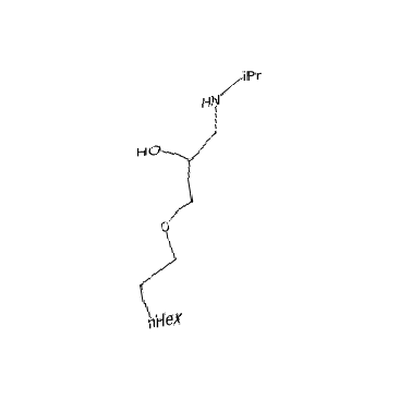 CCCCCCCCOCC(O)CNC(C)C